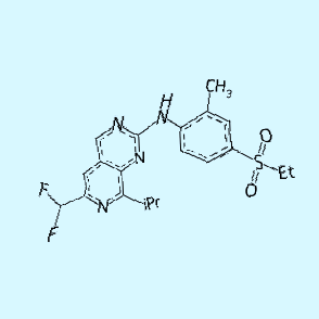 CCS(=O)(=O)c1ccc(Nc2ncc3cc(C(F)F)nc(C(C)C)c3n2)c(C)c1